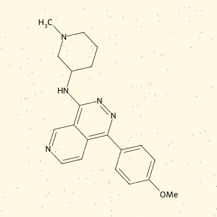 COc1ccc(-c2nnc(NC3CCCN(C)C3)c3cnccc23)cc1